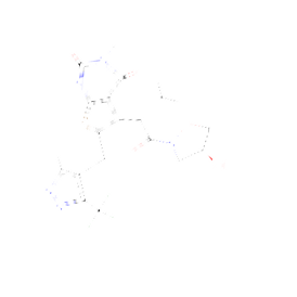 Cc1[nH]nc(C(F)(F)F)c1Cc1sc2[nH]c(=O)n(C)c(=O)c2c1C(C(=O)N1C[C@H](O)CO1)C(C)C